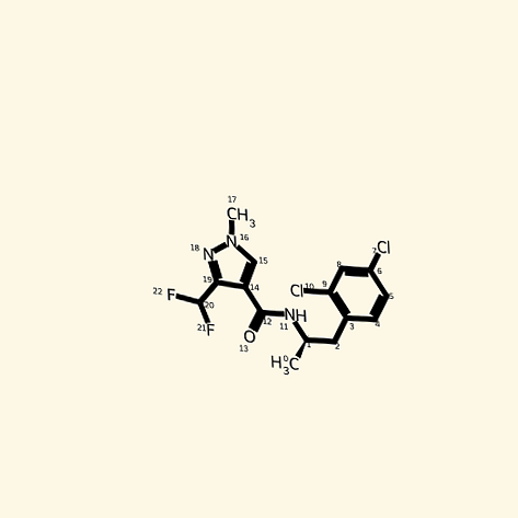 C[C@H](Cc1ccc(Cl)cc1Cl)NC(=O)c1cn(C)nc1C(F)F